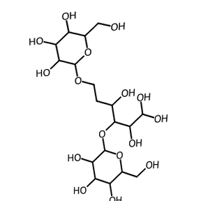 OCC1OC(OCCC(O)C(OC2OC(CO)C(O)C(O)C2O)C(O)C(O)O)C(O)C(O)C1O